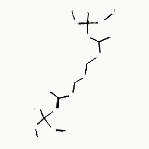 CCCCC(OCC)(OCC)OC(CC)OCOCOC(CC)OC(CCCC)(OCC)OCC